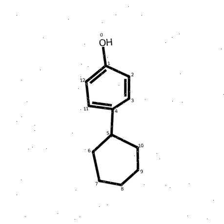 Oc1ccc([C]2CCCCC2)cc1